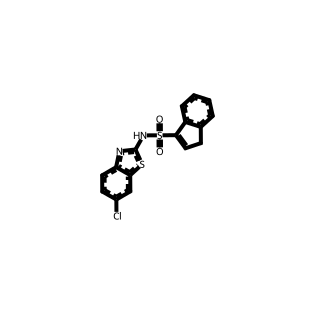 O=S(=O)(Nc1nc2ccc(Cl)cc2s1)C1=CCc2ccccc21